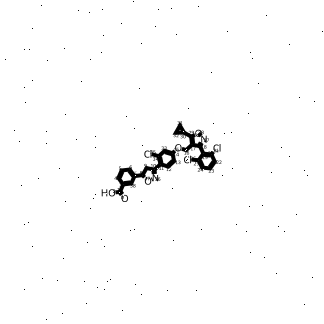 O=C(O)c1cccc(C2CC(c3ccc(OCc4c(-c5c(Cl)cccc5Cl)noc4C4CC4)cc3Cl)=NO2)c1